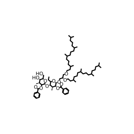 CCC1O[C@@H](OCC(COCCC(C)CCCC(C)CCCC(C)CCCC(C)C)OCCC(C)CCCC(C)CCCC(C)CCCC(C)C)C(OC(=O)c2ccccc2)[C@@H](C)[C@@H]1O[C@@H]1OC(CO)[C@H](O)[C@H](C)C1OC(=O)c1ccccc1